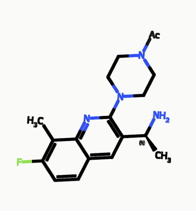 CC(=O)N1CCN(c2nc3c(C)c(F)ccc3cc2[C@H](C)N)CC1